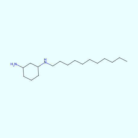 CCCCCCCCCCCNC1CCCC(N)C1